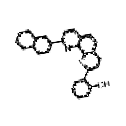 Oc1ccccc1-c1ccc2ccc3ccc(-c4ccc5ccccc5c4)nc3c2n1